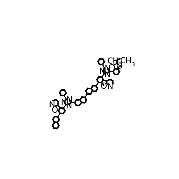 C=CC1c2c(cccc2-c2nc(-c3ccccc3)nc(-c3ccc(-c4ccc5cc(-c6ccc7ccc(-c8nc(-c9ccccc9)nc(-c9ccc(-c%10ccc%11ccccc%11c%10)c%10oc%11ncccc%11c9%10)n8)cc7c6)ccc5c4)c4oc5ncccc5c34)n2)OC1/C=C\C